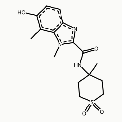 Cc1c(O)ccc2nc(C(=O)NC3(C)CCS(=O)(=O)CC3)n(C)c12